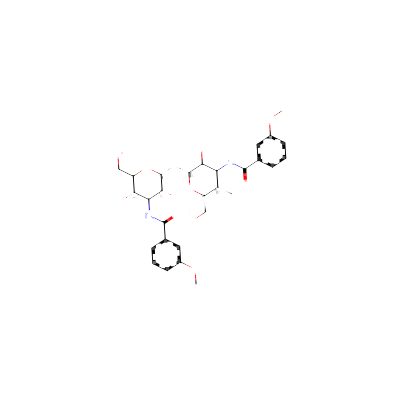 COc1cccc(C(=O)NC2C(O)[C@H](S[C@@H]3OC(CO)[C@H](O)C(NC(=O)c4cccc(OC)c4)[C@@H]3O)O[C@H](CO)[C@@H]2C)c1